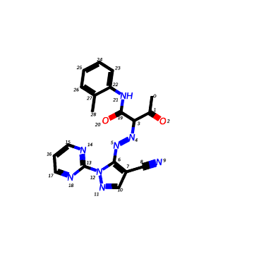 CC(=O)C(N=Nc1c(C#N)cnn1-c1ncccn1)C(=O)Nc1ccccc1C